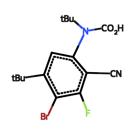 CC(C)(C)c1cc(N(C(=O)O)C(C)(C)C)c(C#N)c(F)c1Br